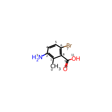 Cc1c(N)ccc(Br)c1C(=O)O